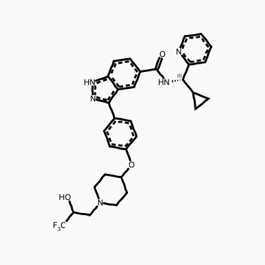 O=C(N[C@H](c1ccccn1)C1CC1)c1ccc2[nH]nc(-c3ccc(OC4CCN(CC(O)C(F)(F)F)CC4)cc3)c2c1